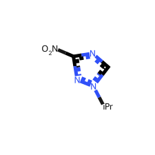 CC(C)n1cnc([N+](=O)[O-])n1